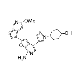 COc1cc2c(-c3cc4c(-c5cnn([C@H]6CC[C@H](O)CC6)c5)cnc(N)c4o3)csc2cn1